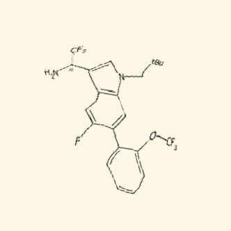 CC(C)(C)Cn1cc([C@H](N)C(F)(F)F)c2cc(F)c(-c3ccccc3OC(F)(F)F)cc21